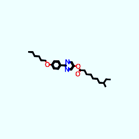 CCCCCCOc1ccc(-c2ncc(OC(=O)CCCCCCC(C)CC)cn2)cc1